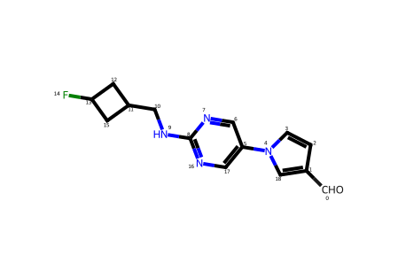 O=Cc1ccn(-c2cnc(NCC3CC(F)C3)nc2)c1